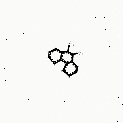 Nc1c(N)c2ccccc2c2ccccc12